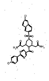 NC(=O)CC1CN(S(=O)(=O)c2ccc3cc(Cl)ccc3c2)CC(CC(N)=O)N1C(=O)c1cnc(-c2cc[n+]([O-])cc2)nc1